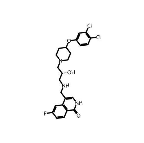 O=c1[nH]cc(CNC[C@@H](O)CN2CCC(Oc3ccc(Cl)c(Cl)c3)CC2)c2cc(F)ccc12